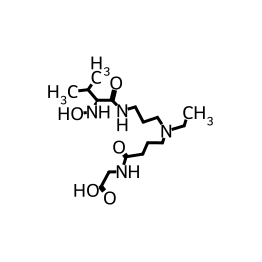 CCN(CCCNC(=O)[C@@H](NO)C(C)C)CCCC(=O)NCC(=O)O